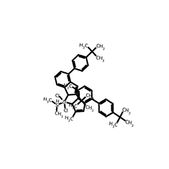 CC1=Cc2c(-c3ccc(C(C)(C)C)cc3)ccc(C)c2[CH]1[Zr]([Cl])([Cl])([CH]1C(C(C)(C)C)=Cc2c(-c3ccc(C(C)(C)C)cc3)cccc21)[SiH](C)C